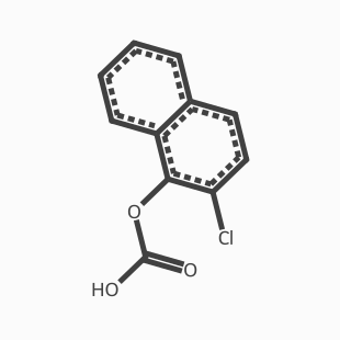 O=C(O)Oc1c(Cl)ccc2ccccc12